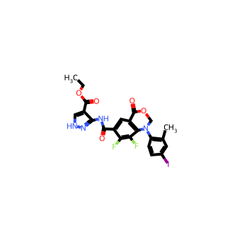 CCOC(=O)c1c[nH]nc1NC(=O)c1cc2c(c(F)c1F)N(c1ccc(I)cc1C)COC2=O